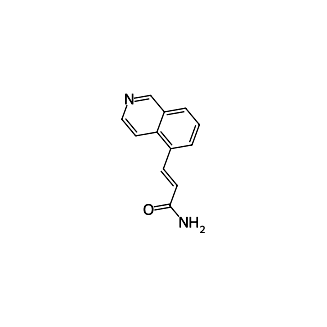 NC(=O)C=Cc1cccc2cnccc12